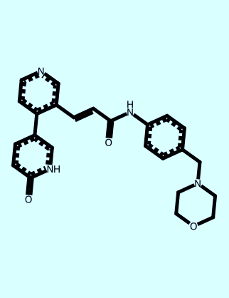 O=C(C=Cc1cnccc1-c1ccc(=O)[nH]c1)Nc1ccc(CN2CCOCC2)cc1